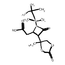 CC1(C2C(=O)N([Si](C)(C)C(C)(C)C)C2CC(=O)O)COC(=O)O1